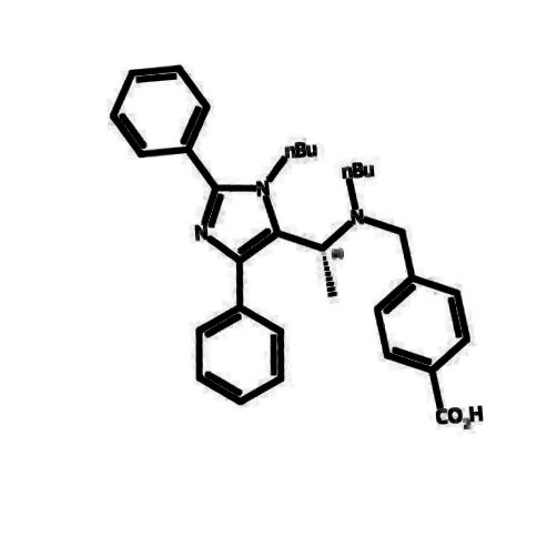 CCCCN(Cc1ccc(C(=O)O)cc1)[C@H](C)c1c(-c2ccccc2)nc(-c2ccccc2)n1CCCC